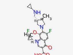 COc1c(N2C[C@H](CNC3CC3)[C@@H](C)C2)c(F)cc2c(=O)c(C(=O)O)cn([C@@H]3C[C@@H]3F)c12